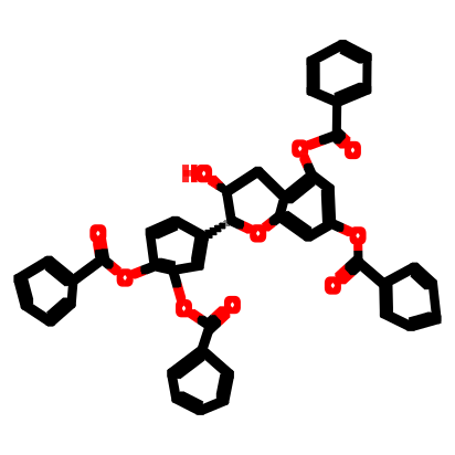 O=C(Oc1cc(OC(=O)c2ccccc2)c2c(c1)O[C@H](c1ccc(OC(=O)c3ccccc3)c(OC(=O)c3ccccc3)c1)[C@@H](O)C2)c1ccccc1